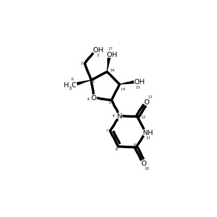 C[C@]1(CO)OC(n2ccc(=O)[nH]c2=O)[C@H](O)[C@@H]1O